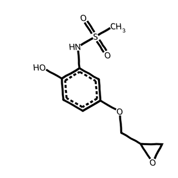 CS(=O)(=O)Nc1cc(OCC2CO2)ccc1O